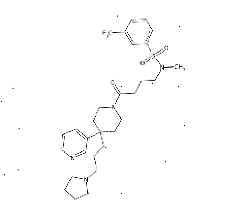 CN(CCCC(=O)N1CCC(CCCN2CCCC2)(c2cccnc2)CC1)S(=O)(=O)c1cccc(C(F)(F)F)c1